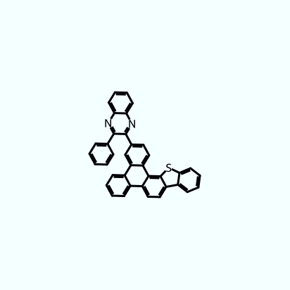 c1ccc(-c2nc3ccccc3nc2-c2ccc3c(c2)c2ccccc2c2ccc4c5ccccc5sc4c23)cc1